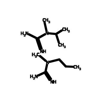 CC(C)N(C)C(=N)N.CCCN(C)C(=N)N